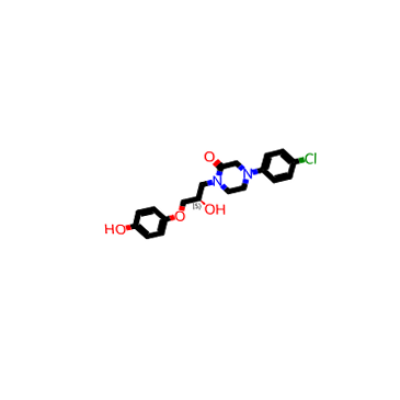 O=C1CN(c2ccc(Cl)cc2)CCN1C[C@H](O)COc1ccc(O)cc1